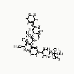 Cc1nc2ccc(-c3cnc(C(C)(C)O)nc3)cc2c(N[C@H](C)c2cc(-c3ccccc3)ccc2F)c1Cl